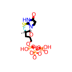 C[C@@]1(F)CC(COP(=O)(O)OP(=O)(O)OP(=O)(O)O)O[C@H]1n1ccc(=O)[nH]c1=S